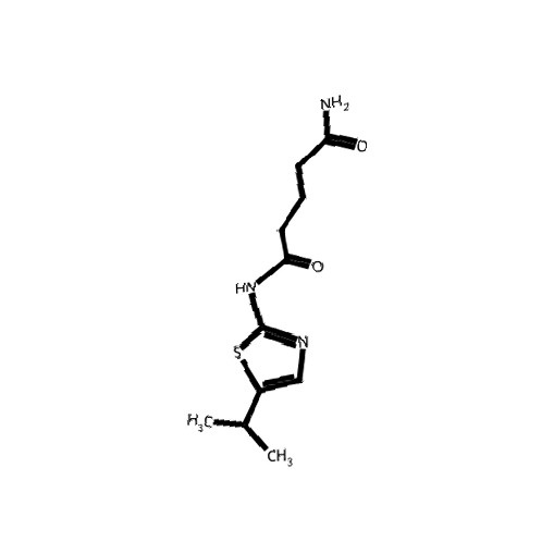 CC(C)c1cnc(NC(=O)[CH]CCC(N)=O)s1